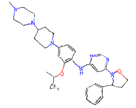 CC(Oc1cc(N2CCC(N3CCN(C)CC3)CC2)ccc1Nc1cc(N2OCCC2c2ccccc2)ncn1)C(F)(F)F